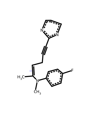 C/C(=C/CC#Cc1ncccn1)N(C)c1ccc(F)cc1